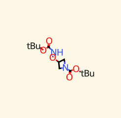 CC(C)(C)OC(=O)NOC1CN(C(=O)OC(C)(C)C)C1